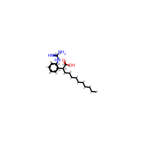 CCCCCCCCCCC(C(=O)O)c1ccccc1NC(=N)N